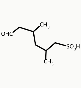 CC(CC=O)CC(C)CS(=O)(=O)O